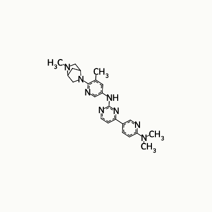 Cc1cc(Nc2nccc(-c3ccc(N(C)C)nc3)n2)cnc1N1CC2CC1CN2C